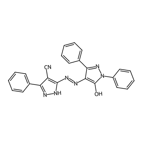 N#Cc1c(-c2ccccc2)n[nH]c1/N=N/c1c(-c2ccccc2)nn(-c2ccccc2)c1O